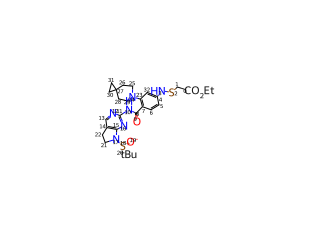 CCOC(=O)CSNc1ccc(C(=O)Nc2ncc3c(n2)N([S+]([O-])C(C)(C)C)CC3)c(N2CCC3(CC2)CC3)c1